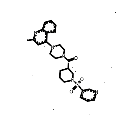 Cc1cc(N2CCN(C(=O)C3CCCN(S(=O)(=O)c4cccnc4)C3)CC2)c2ccccc2n1